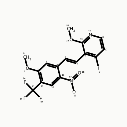 COc1cc(C=Cc2c(I)ccnc2OC)c([N+](=O)[O-])cc1C(F)(F)F